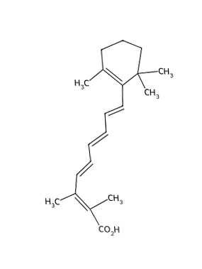 CC(C=CC=CC=CC1=C(C)CCCC1(C)C)=C(C)C(=O)O